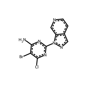 Nc1nc(-n2ncc3ccncc32)nc(Cl)c1Br